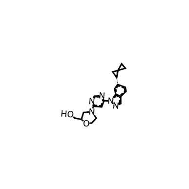 OCC1CN(c2cc(-n3ncc4ccc([C@@H]5CC56CC6)cc43)ncn2)CCO1